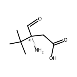 CC(C)(C)[C@@](N)(C=O)CC(=O)O